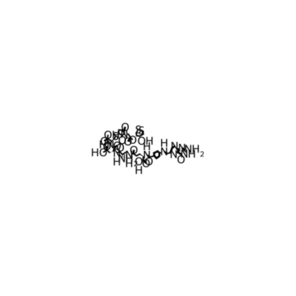 Nc1nc2ncc(CNc3ccc(C(=O)N[C@H](CCC(=O)NC[C@@H](N)C(=O)N[C@H](CC(=O)O)C(=O)N[C@H](CSC4CC(=O)N(CC(=O)O[C@H]5CSSC[C@@H]5O)C4=O)C(=O)O)C(=O)O)cc3)nc2c(=O)[nH]1